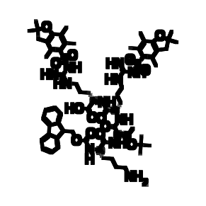 Cc1c(C)c(S(=O)(=O)NC(=N)NCCC[C@H](NC(=O)[C@H](CCCNC(=N)NS(=O)(=O)c2c(C)c(C)c3c(c2C)CC(C)(C)O3)NC(=O)[C@@H](NC(=O)[C@H](CCCCN)NC(=O)OCC2c3ccccc3-c3ccccc32)[C@@H](C)OC(C)(C)C)C(=O)O)c(C)c2c1OC(C)(C)C2